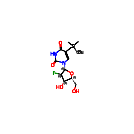 CC(C)(C)[Si](C)(C)c1cn([C@@H]2O[C@H](CO)[C@H](O)[C@H]2F)c(=O)[nH]c1=O